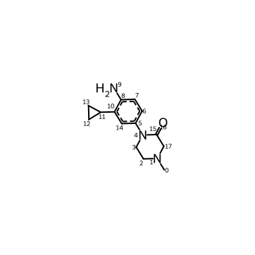 CN1CCN(c2ccc(N)c(C3CC3)c2)C(=O)C1